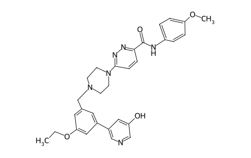 CCOc1cc(CN2CCN(c3ccc(C(=O)Nc4ccc(OC)cc4)nn3)CC2)cc(-c2cncc(O)c2)c1